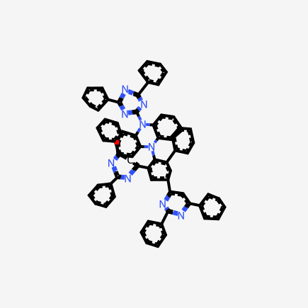 c1ccc(-c2cc(-c3cc(-c4ccccc4)c(N4c5ccccc5N(c5nc(-c6ccccc6)nc(-c6ccccc6)n5)c5ccccc54)c(-c4cc(-c5ccccc5)nc(-c5ccccc5)n4)c3)nc(-c3ccccc3)n2)cc1